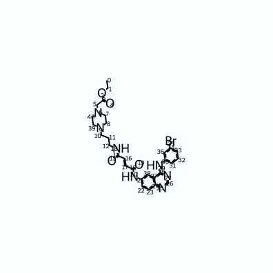 CCOC(=O)CN1CCN(CCCNC(=O)C=CC(=O)Nc2ccc3ncnc(Nc4cccc(Br)c4)c3c2)CC1